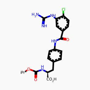 CC(C)OC(=O)N[C@@H](Cc1ccc(NC(=O)c2ccc(Cl)c(NC(=N)N)c2)cc1)C(=O)O